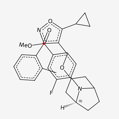 COC(=O)c1ccc(N2C3CC[C@H]2CC(OCc2c(-c4ccccc4C)noc2C2CC2)C3)c(F)c1